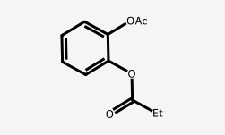 CCC(=O)Oc1ccccc1OC(C)=O